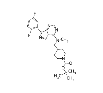 CN(CC1CCN(C(=O)OC(C)(C)C)CC1)c1ncnc2c1cnn2-c1cc(F)ccc1F